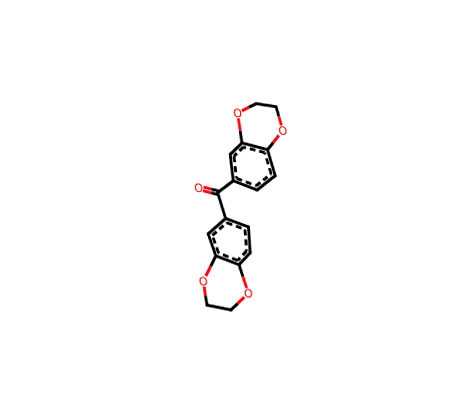 O=C(c1ccc2c(c1)OCCO2)c1ccc2c(c1)OCCO2